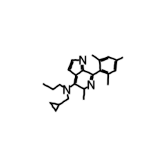 CCCN(CC1CC1)C1=C2C=CN=C2C(c2c(C)cc(C)cc2C)=NC1C